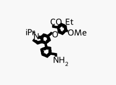 CCOC(=O)Cc1ccc(OC)cc1OCc1cc(-c2cccc(CN)c2)c2ccn(C(C)C)c2c1